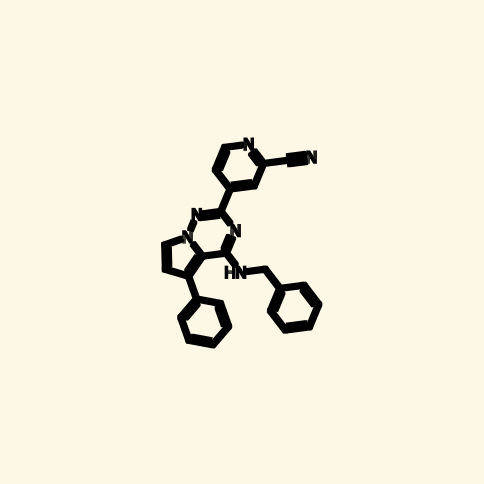 N#Cc1cc(-c2nc(NCc3ccccc3)c3c(-c4ccccc4)ccn3n2)ccn1